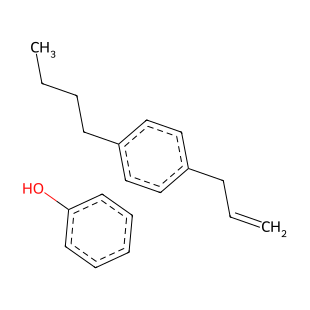 C=CCc1ccc(CCCC)cc1.Oc1ccccc1